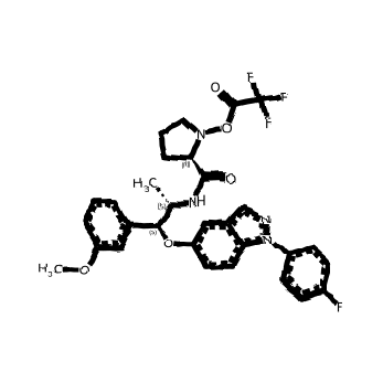 COc1cccc([C@H](Oc2ccc3c(cnn3-c3ccc(F)cc3)c2)[C@H](C)NC(=O)[C@H]2CCCN2OC(=O)C(F)(F)F)c1